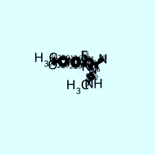 CN[C@H]1C[C@H](n2cc(C#N)c3cc(F)c(N4CCN(c5ccc(C(C)=O)cc5)CC4)nc32)C1